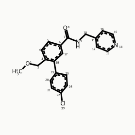 COCc1ccc(C(=O)NCc2ccncc2)cc1-c1ccc(Cl)cc1